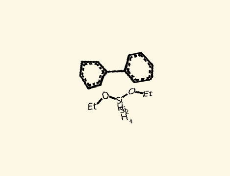 CCO[SiH2]OCC.[SiH4].c1ccc(-c2ccccc2)cc1